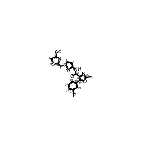 CC(=O)c1csc(Cn2ccc(NC(=O)c3nc(C)oc3-c3cccc(F)c3)n2)n1